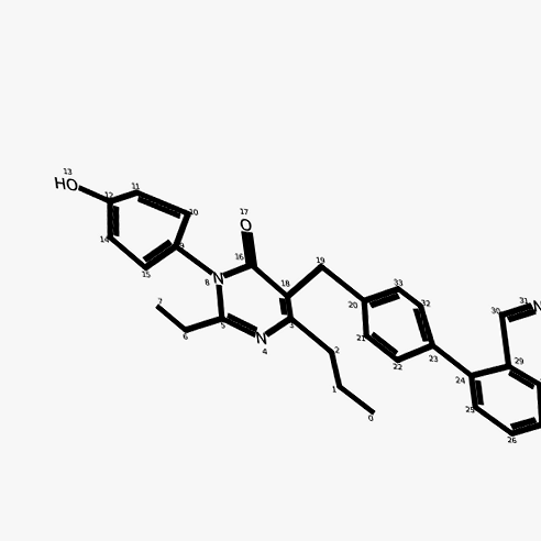 CCCc1nc(CC)n(-c2ccc(O)cc2)c(=O)c1Cc1ccc(-c2ccccc2C=N)cc1